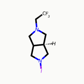 FC(F)(F)CN1CC2CN(I)C[C@@H]2C1